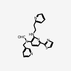 O=CN(Cc1cccnc1)c1ccc(-c2nccs2)nc1NCCc1ccccn1